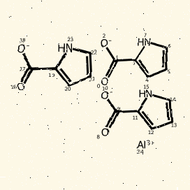 O=C([O-])c1ccc[nH]1.O=C([O-])c1ccc[nH]1.O=C([O-])c1ccc[nH]1.[Al+3]